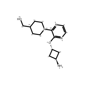 N[C@H]1C[C@H](Oc2nccnc2N2CCC(CO)CC2)C1